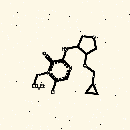 CCOC(=O)Cn1c(Cl)cnc(NC2COCC2OCC2CC2)c1=O